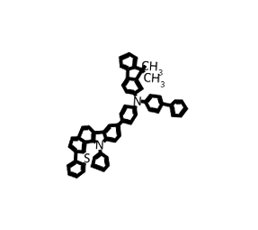 CC1(C)c2ccccc2-c2ccc(N(c3ccc(-c4ccccc4)cc3)c3ccc(-c4ccc5c(c4)c4ccc6ccc7c8ccccc8sc7c6c4n5-c4ccccc4)cc3)cc21